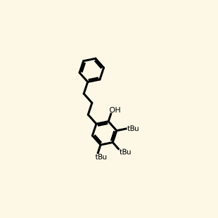 CC(C)(C)c1cc(CCCc2ccccc2)c(O)c(C(C)(C)C)c1C(C)(C)C